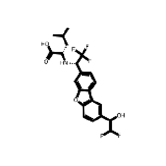 CC(C)C[C@H](N[C@@H](c1ccc2c(c1)oc1ccc(C(O)C(F)F)cc12)C(F)(F)F)C(=O)O